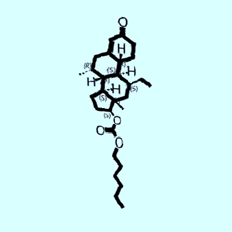 CCCCCCOC(=O)O[C@H]1CC[C@H]2[C@H]3[C@H]([C@@H](CC)C[C@]12C)[C@H]1CCC(=O)C=C1C[C@H]3C